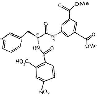 COC(=O)c1cc(NC(=O)[C@H](Cc2ccccc2)NC(=O)c2ccc([N+](=O)[O-])cc2C(=O)O)cc(C(=O)OC)c1